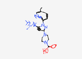 Cc1ccc(-n2nc(N3CCN(C(=O)O)CC3)cc2N)nc1